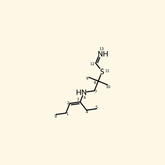 CC/C=C(\CC)NCC(C)(C)SC=N